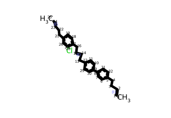 C/C=C/CCc1ccc(-c2ccc(C/C=C/Cc3ccc(CC/C=C/C)cc3Cl)cc2)cc1